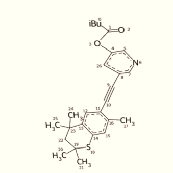 CCC(C)C(=O)Oc1cncc(C#Cc2cc3c(cc2C)SC(C)(C)CC3(C)C)c1